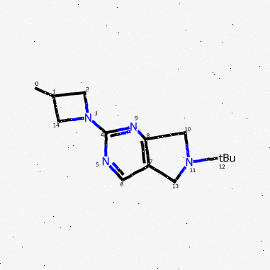 CC1CN(c2ncc3c(n2)CN(C(C)(C)C)C3)C1